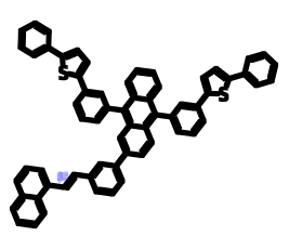 C(=C\c1cccc2ccccc12)/c1cccc(-c2ccc3c(-c4cccc(-c5ccc(-c6ccccc6)s5)c4)c4ccccc4c(-c4cccc(-c5ccc(-c6ccccc6)s5)c4)c3c2)c1